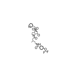 CC(CCNC(=O)c1ccc(OC(F)F)cc1)CC(=O)N1CCC2C1C(=O)CN2S(=O)(=O)Cc1cccnc1